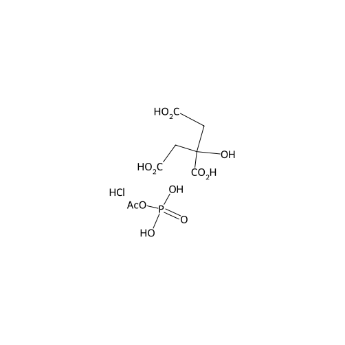 CC(=O)OP(=O)(O)O.Cl.O=C(O)CC(O)(CC(=O)O)C(=O)O